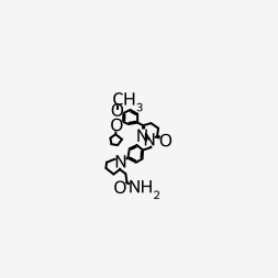 COc1ccc(C2=NN(Cc3ccc(N4CCCCC4CC(N)=O)cc3)C(=O)CC2)cc1OC1CCCC1